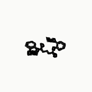 COc1ccccc1OC(=O)CCCC(=O)Oc1ccccc1OC